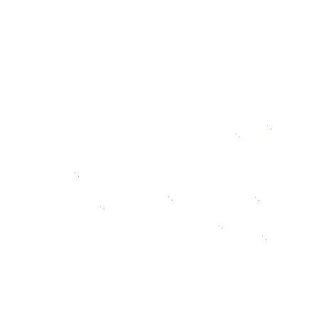 CCN1CCN(Cc2ccc(-c3nc(N)nc(-c4cnc5ccc(-c6ccccc6)cn45)c3F)nc2)CC1